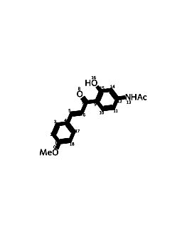 COc1ccc(C=CC(=O)c2ccc(NC(C)=O)cc2O)cc1